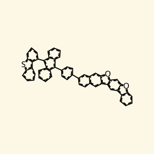 c1ccc2c(c1)oc1cc3oc4cc5cc(-c6ccc(-c7c8ccccc8c(-c8cccc9sc%10ccccc%10c89)c8ccccc78)cc6)ccc5cc4c3cc12